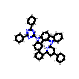 c1ccc(-c2cc(-c3ccccc3)nc(-n3c4ccccc4c4ccc5c(c6ccccc6n5-c5nc(-c6ccccc6)nc(-c6ccccc6)n5)c43)c2)cc1